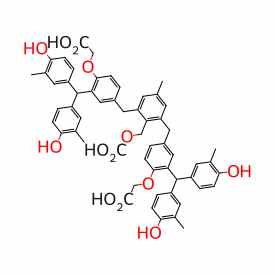 Cc1cc(Cc2ccc(OCC(=O)O)c(C(c3ccc(O)c(C)c3)c3ccc(O)c(C)c3)c2)c(COC(=O)O)c(Cc2ccc(OCC(=O)O)c(C(c3ccc(O)c(C)c3)c3ccc(O)c(C)c3)c2)c1